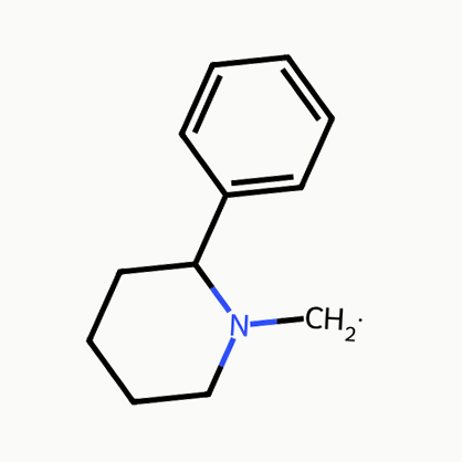 [CH2]N1CCCCC1c1ccccc1